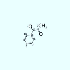 CC(=O)C([O])c1ccccc1